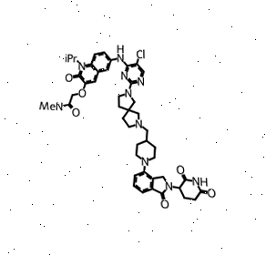 CNC(=O)COc1cc2cc(Nc3nc(N4CCC5(CCN(CC6CCN(c7cccc8c7CN(C7CCC(=O)NC7=O)C8=O)CC6)C5)C4)ncc3Cl)ccc2n(C(C)C)c1=O